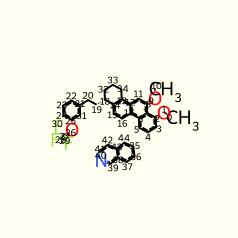 COc1cccc2c1c(OC)cc1c3c(ccc12)[C@H](CCc1cccc(OC(F)(F)F)c1)CCC3.c1ccc2cnccc2c1